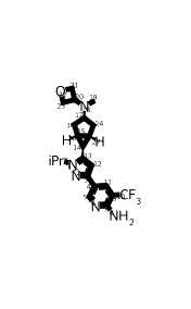 CC(C)n1nc(-c2cnc(N)c(C(F)(F)F)c2)cc1[C@H]1[C@@H]2C[C@@H](N(C)C3COC3)C[C@@H]21